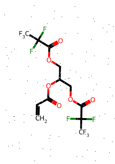 C=CC(=O)OC(COC(=O)C(F)(F)C(F)(F)F)COC(=O)C(F)(F)C(F)(F)F